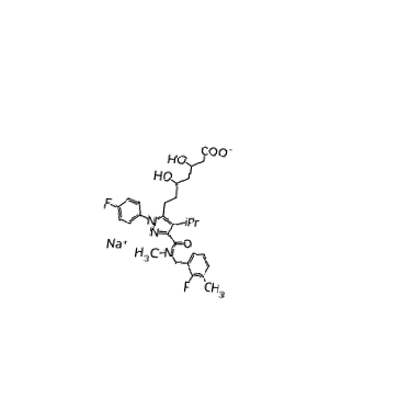 Cc1cccc(CN(C)C(=O)c2nn(-c3ccc(F)cc3)c(CCC(O)CC(O)CC(=O)[O-])c2C(C)C)c1F.[Na+]